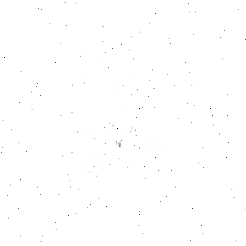 C1=CC2Oc3cc(-c4cccc5oc6cccc(-c7nc(-c8ccccc8)nc(-c8ccc9ccc%10ccccc%10c9c8)n7)c6c45)ccc3C2C=C1